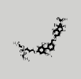 CCOP(=O)(CCCOc1cc(C)c(-c2cccc(COc3cc4c(cn3)[C@H]3[C@@H](C4)[C@@H]3C(=O)O)c2)c(C)c1)OCC